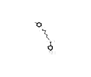 Cc1ccc(OC(=O)CCCCCOC(=O)c2ccc(N)cc2)cc1